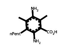 CCCCCc1c(C)c(N)c(C)c(C(=O)O)c1N